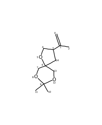 C=C(C)C1COC2(COC(C)(C)OC2)C1